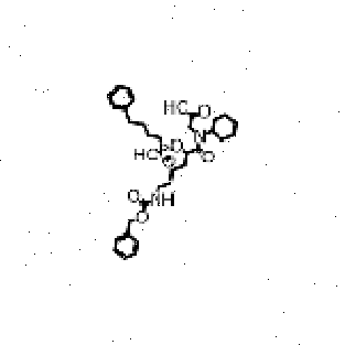 O=C(O)CN(C(=O)C(CCCCNC(=O)OCc1ccccc1)OP(=O)(O)CCCCc1ccccc1)C1CCCCC1